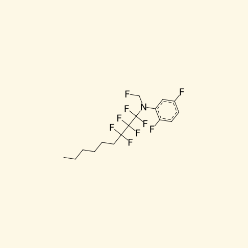 CCCCCCC(F)(F)C(F)(F)C(F)(F)N(CF)c1cc(F)ccc1F